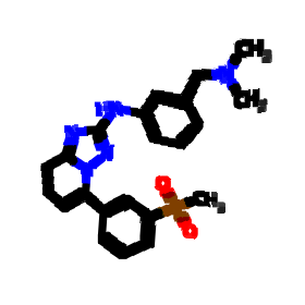 CN(C)Cc1cccc(Nc2nc3cccc(-c4cccc(S(C)(=O)=O)c4)n3n2)c1